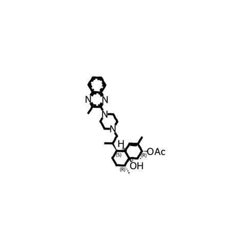 CC(=O)O[C@@H]1[CH][C@@]2(O)[C@H](C)CC[C@@H](C(C)CN3CCN(c4nc5ccccc5nc4C)CC3)[C@H]2C=C1C